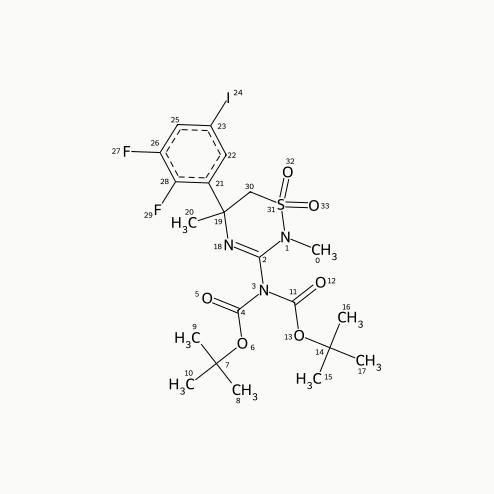 CN1C(N(C(=O)OC(C)(C)C)C(=O)OC(C)(C)C)=NC(C)(c2cc(I)cc(F)c2F)CS1(=O)=O